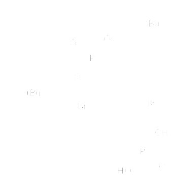 CC(C)(C)COP(=O)(CC(Br)C(Br)CP(=O)(O)O)OCC(C)(C)C